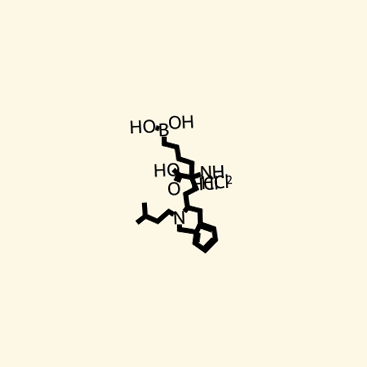 CC(C)CCN1Cc2ccccc2CC1CCC(N)(CCCCB(O)O)C(=O)O.Cl.Cl